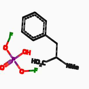 CNC(Cc1ccccc1)C(=O)O.O=P(O)(OF)OF